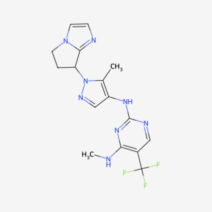 CNc1nc(Nc2cnn(C3CCn4ccnc43)c2C)ncc1C(F)(F)F